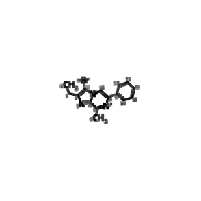 CCc1nc2c(C)nc(-c3ccccc3)cn2c1Br